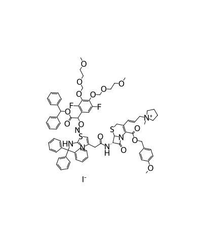 COCCOCOc1c(F)cc(C(ON=S2C=C(CC(=O)N[C@H]3C(=O)N4C(C(=O)OCc5ccc(OC)cc5)=C(C=CC[N+]5(C)CCCC5)CSC34)N=C2NC(c2ccccc2)(c2ccccc2)c2ccccc2)C(=O)OC(c2ccccc2)c2ccccc2)c(F)c1OCOCCOC.[I-]